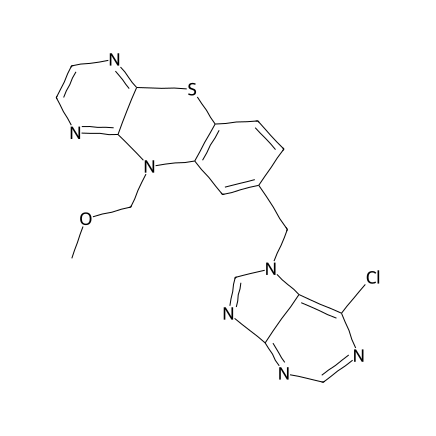 COCN1c2cc(Cn3cnc4ncnc(Cl)c43)ccc2Sc2nccnc21